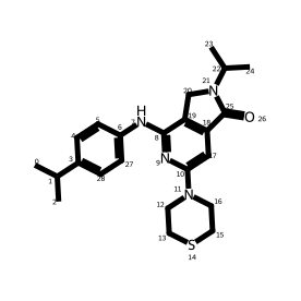 CC(C)c1ccc(Nc2nc(N3CCSCC3)cc3c2CN(C(C)C)C3=O)cc1